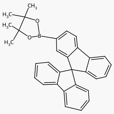 CC1(C)OB(c2ccc3c(c2)C2(c4ccccc4-c4ccccc42)c2ccccc2-3)OC1(C)C